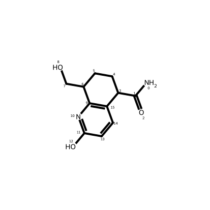 NC(=O)C1CCC(CO)c2nc(O)ccc21